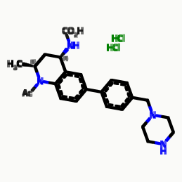 CC(=O)N1c2ccc(-c3ccc(CN4CCNCC4)cc3)cc2[C@H](NC(=O)O)C[C@@H]1C.Cl.Cl